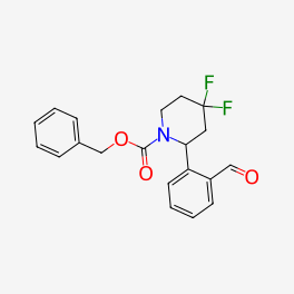 O=Cc1ccccc1C1CC(F)(F)CCN1C(=O)OCc1ccccc1